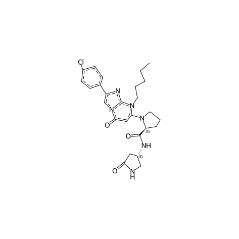 CCCCCn1c(N2CCC[C@H]2C(=O)N[C@@H]2CNC(=O)C2)cc(=O)n2cc(-c3ccc(Cl)cc3)nc12